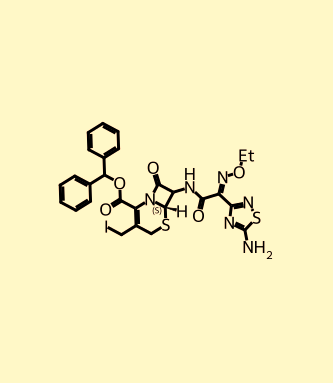 CCON=C(C(=O)NC1C(=O)N2C(C(=O)OC(c3ccccc3)c3ccccc3)=C(CI)CS[C@@H]12)c1nsc(N)n1